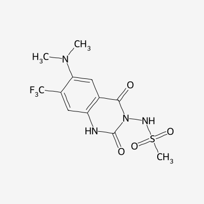 CN(C)c1cc2c(=O)n(NS(C)(=O)=O)c(=O)[nH]c2cc1C(F)(F)F